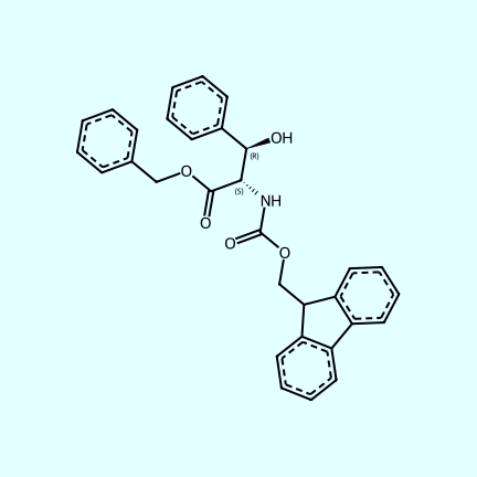 O=C(N[C@H](C(=O)OCc1ccccc1)[C@H](O)c1ccccc1)OCC1c2ccccc2-c2ccccc21